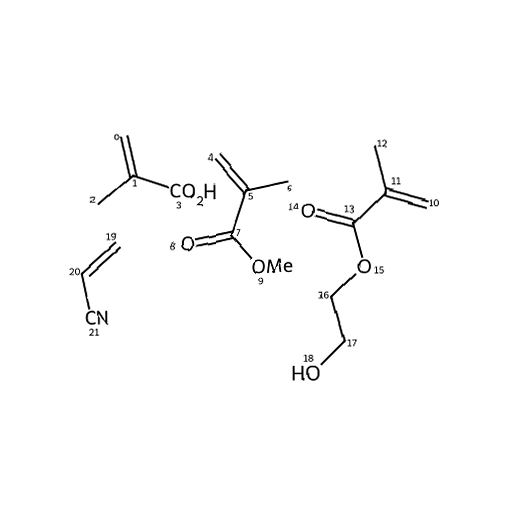 C=C(C)C(=O)O.C=C(C)C(=O)OC.C=C(C)C(=O)OCCO.C=CC#N